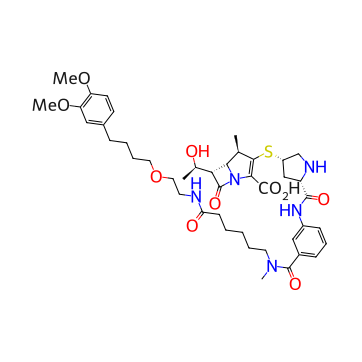 COc1ccc(CCCCOCCNC(=O)CCCCCN(C)C(=O)c2cccc(NC(=O)[C@@H]3C[C@H](SC4=C(C(=O)O)N5C(=O)[C@H]([C@@H](C)O)C5[C@H]4C)CN3)c2)cc1OC